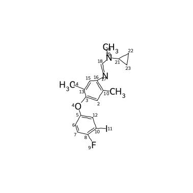 Cc1cc(Oc2ccc(F)c(I)c2)c(C)cc1N=CN(C)C1CC1